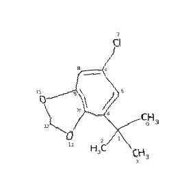 CC(C)(C)c1cc(Cl)cc2c1OCO2